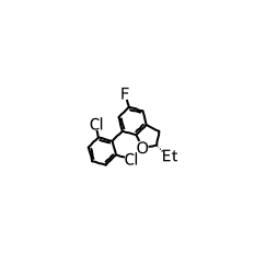 CC[C@H]1Cc2cc(F)cc(-c3c(Cl)cccc3Cl)c2O1